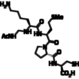 CSCC[C@H](NC(=O)[C@H](CCCCN)NCNC(C)=O)C(=O)N1CCC[C@H]1C(=O)N[C@@H](CS)C(=O)O